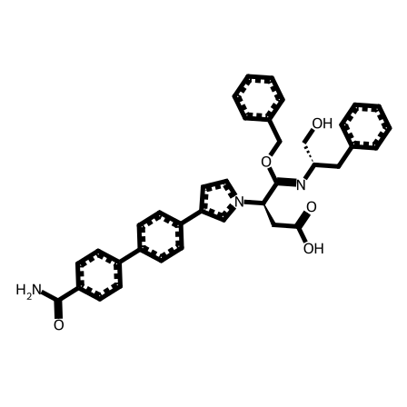 NC(=O)c1ccc(-c2ccc(-c3ccn([C@H](CC(=O)O)C(=N[C@H](CO)Cc4ccccc4)OCc4ccccc4)c3)cc2)cc1